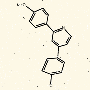 COc1ccc(-c2[c]c(-c3ccc(Cl)cc3)ccn2)cc1